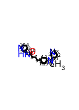 CN(c1ccc(CCCC(=O)Nc2cccnc2)cc1)c1cccnc1